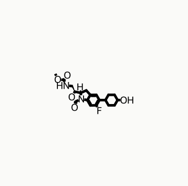 COC(=O)NC[C@@H]1OC(=O)N2c3cc(F)c(C4CCC(O)CC4)cc3C[C@@H]12